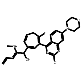 C=C/C=C(\NC)C(O)C1=CC(c2nc(Cl)nc3cc(N4CCOCC4)ccc23)=C(F)CC=C1